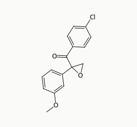 COc1cccc(C2(C(=O)c3ccc(Cl)cc3)CO2)c1